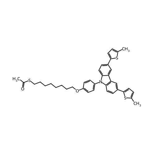 CC(=O)SCCCCCCCCOc1ccc(-n2c3ccc(-c4ccc(C)s4)cc3c3cc(-c4ccc(C)s4)ccc32)cc1